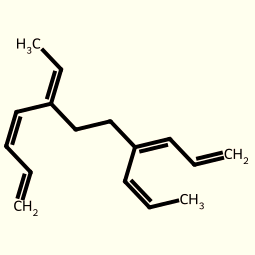 C=C/C=C\C(=C/C)CCC(/C=C\C)=C/C=C